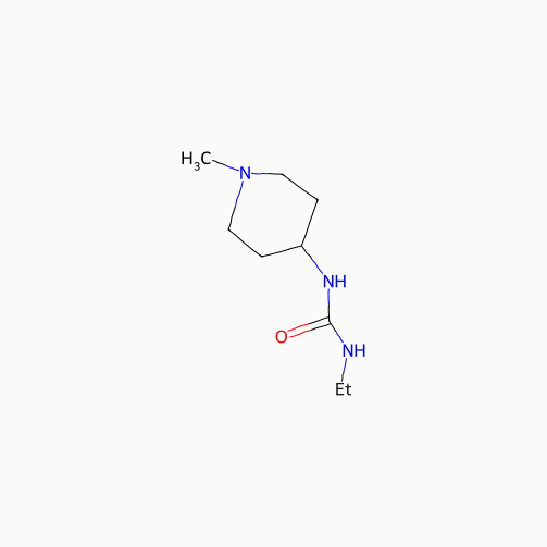 CCNC(=O)NC1CCN(C)CC1